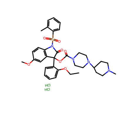 CCOc1ccccc1C1(OC(=O)N2CCN(C3CCN(C)CC3)CC2)C(=O)N(S(=O)(=O)c2ccccc2C)c2ccc(OC)cc21.Cl.Cl